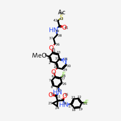 COc1cc2c(Oc3ccc(NC(=O)C4(C(=O)Nc5ccc(F)cc5)CC4)cc3F)ccnc2cc1OCCCNC(=O)CSC(C)=O